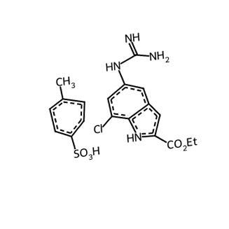 CCOC(=O)c1cc2cc(NC(=N)N)cc(Cl)c2[nH]1.Cc1ccc(S(=O)(=O)O)cc1